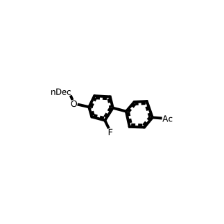 CCCCCCCCCCOc1ccc(-c2ccc(C(C)=O)cc2)c(F)c1